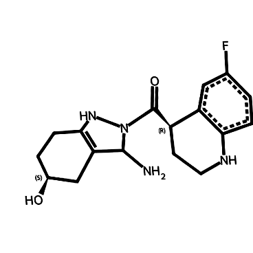 NC1C2=C(CC[C@H](O)C2)NN1C(=O)[C@@H]1CCNc2ccc(F)cc21